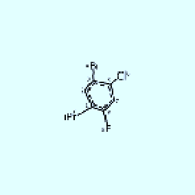 CC(C)c1cc(Br)c(Cl)cc1F